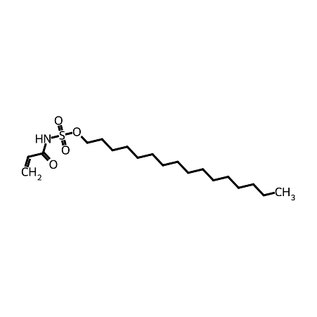 C=CC(=O)NS(=O)(=O)OCCCCCCCCCCCCCCCC